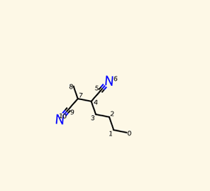 CCCCC(C#N)C(C)C#N